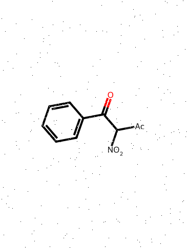 CC(=O)C(C(=O)c1ccccc1)[N+](=O)[O-]